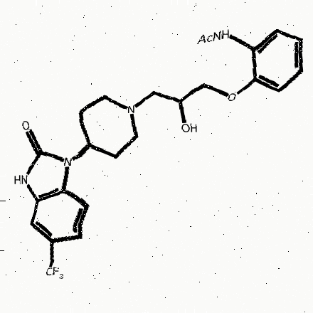 CC(=O)Nc1ccccc1OCC(O)CN1CCC(n2c(=O)[nH]c3cc(C(F)(F)F)ccc32)CC1